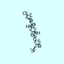 CS(C)(C)C#Cc1cc(OCC(=O)N[C@H]2CC[C@H](NC(=O)COc3ccc(Cl)cc3)CC2)ccc1Cl